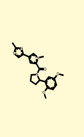 COc1ccc(OC)c(C2CCCN2C(=O)c2cc(-c3csc(C)n3)cn2C)c1